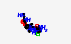 CCNc1ccc(OCC(=O)NCCNC)cc1N(CC)C(I)CNC(=O)c1nc(Cl)cnc1N